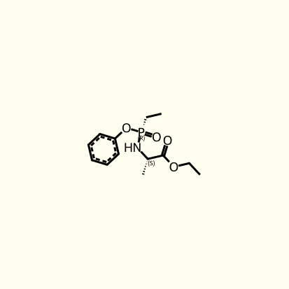 CCOC(=O)[C@H](C)N[P@@](=O)(CC)Oc1ccccc1